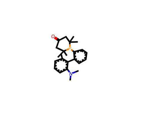 Cc1cccc(N(C)C)c1-c1ccccc1P1C(C)(C)CC(=O)CC1(C)C